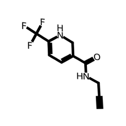 C#CCNC(=O)C1=CC=C(C(F)(F)F)NC1